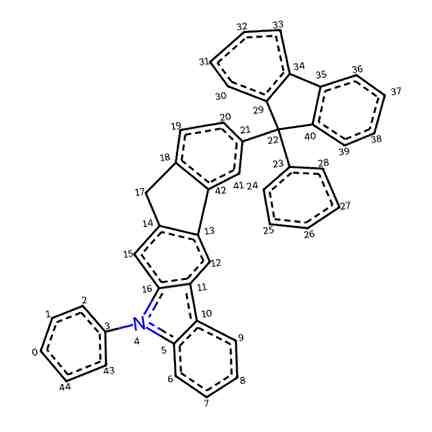 c1ccc(-n2c3ccccc3c3cc4c(cc32)Cc2ccc(C3(c5ccccc5)c5ccccc5-c5ccccc53)cc2-4)cc1